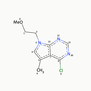 COCCn1cc(C)c2c(Cl)ncnc21